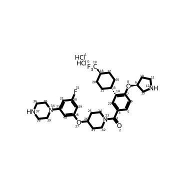 Cl.Cl.O=C(c1ccc(O[C@H]2CCNC2)c([C@H]2CC[C@H](C(F)(F)F)CC2)c1)N1CCC(Oc2cc(F)cc(N3CCNCC3)c2)CC1